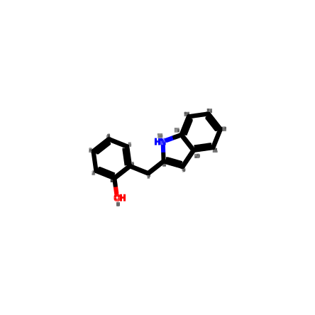 Oc1ccccc1Cc1cc2ccccc2[nH]1